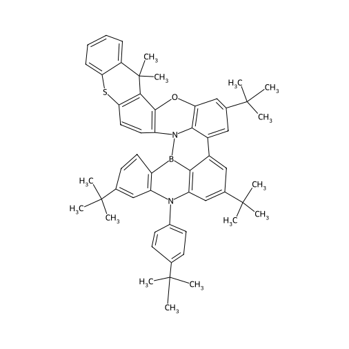 CC(C)(C)c1ccc(N2c3cc(C(C)(C)C)ccc3B3c4c(cc(C(C)(C)C)cc42)-c2cc(C(C)(C)C)cc4c2N3c2ccc3c(c2O4)C(C)(C)c2ccccc2S3)cc1